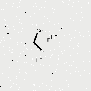 CC[CH2][Ge].F.F.F